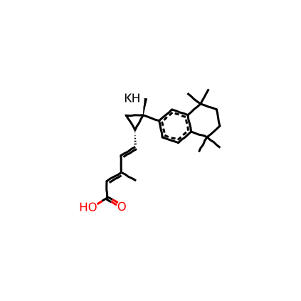 CC(/C=C/[C@@H]1C[C@]1(C)c1ccc2c(c1)C(C)(C)CCC2(C)C)=C\C(=O)O.[KH]